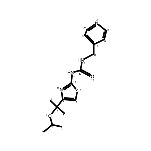 CC(C)OC(C)(C)c1csc(NC(=O)NCc2ccncc2)n1